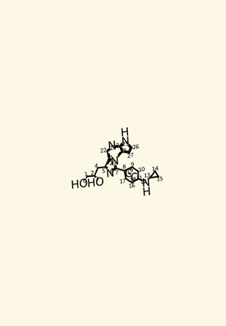 OCC(O)Cc1nc(C23CCC(NC4CC4)(CC2)CC3)n2c1cnc1[nH]ccc12